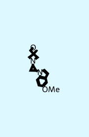 COc1ccc2c(ccn2C2CC2N2CC3(COC3)C2)c1